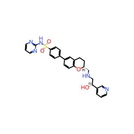 O=S(=O)(Nc1ncccn1)c1ccc(-c2ccc3c(c2)CC[C@H](CNC[C@@H](O)c2cccnc2)O3)cc1